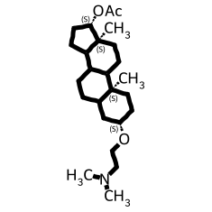 CC(=O)O[C@H]1CCC2C3CCC4C[C@@H](OCCN(C)C)CC[C@]4(C)C3CC[C@@]21C